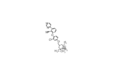 CC1(C)CC(COc2ccc(Oc3cccc(-c4ccncn4)c3C#N)c(Cl)c2)CC(C)(C)N1